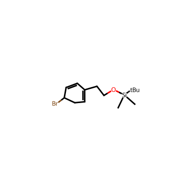 CC(C)(C)[Si](C)(C)OCCC1=CCC(Br)C=C1